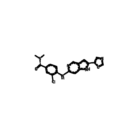 CN(C)C(=O)c1ccc(Nc2cc3[nH]c(-c4cnco4)cc3cn2)c(Cl)c1